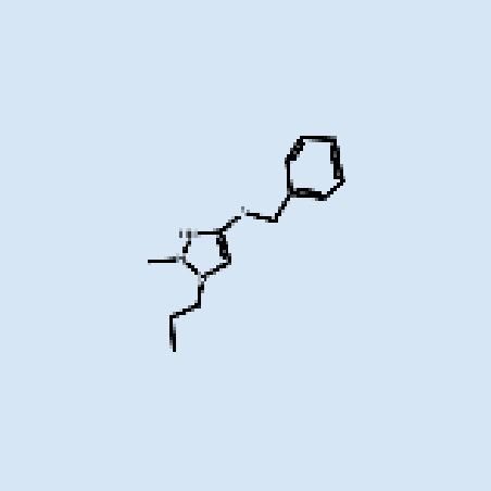 CCCN1C=C(SCc2ccccc2)NN1C